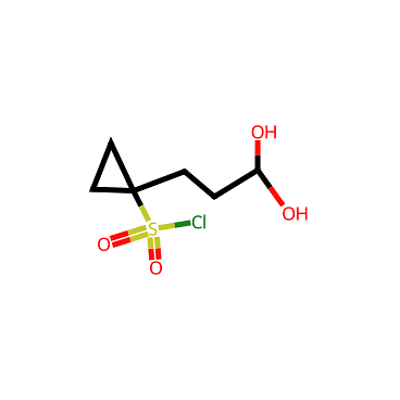 O=S(=O)(Cl)C1(CCC(O)O)CC1